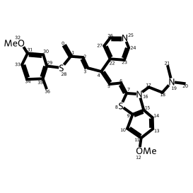 C=C(/C=C/C(=C/C=C1\Sc2cc(OC)ccc2N1CCN(C)C)c1ccncc1)Sc1cc(OC)ccc1C